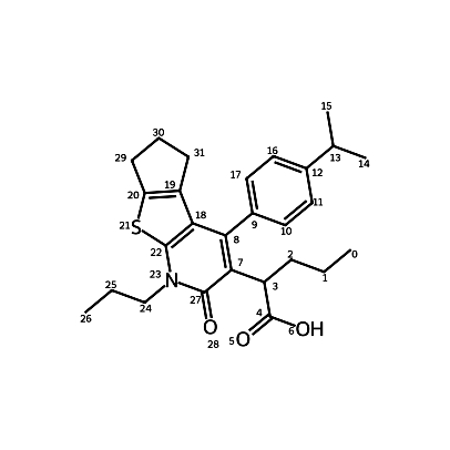 CCCC(C(=O)O)c1c(-c2ccc(C(C)C)cc2)c2c3c(sc2n(CCC)c1=O)CCC3